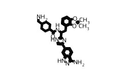 CC1(C)Oc2cccc(CC(NC(=O)C3CCC(CN)CC3)c3nc(-c4ccc5c(N)n[nH]c5c4)c[nH]3)c2O1